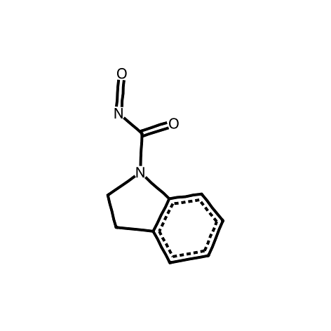 O=NC(=O)N1CCc2ccccc21